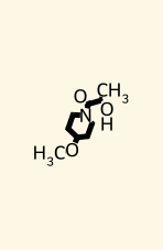 COC1CCN(C(=O)[C@@H](C)O)CC1